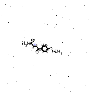 CCOc1ccc(C(=O)/C=C/C(N)=O)cc1